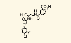 C=C(CCNC(=O)c1ccnc(C(=O)O)c1)NC(=O)COc1ccc(Cl)c(F)c1